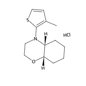 Cc1ccsc1N1CCO[C@H]2CCCC[C@H]21.Cl